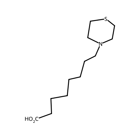 O=C(O)CCCCCCCN1CCSCC1